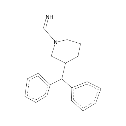 N=CN1CCCC(C(c2ccccc2)c2ccccc2)C1